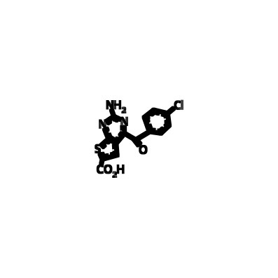 Nc1nc(C(=O)c2ccc(Cl)cc2)c2cc(C(=O)O)sc2n1